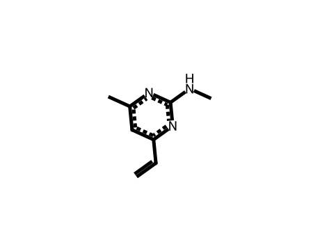 C=Cc1cc(C)nc(NC)n1